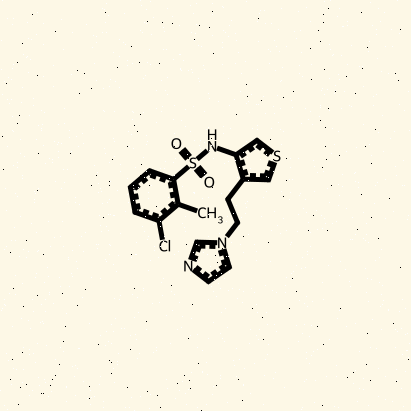 Cc1c(Cl)cccc1S(=O)(=O)Nc1cscc1CCn1ccnc1